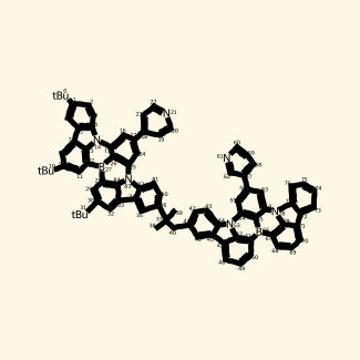 CC(C)(C)c1ccc2c(c1)c1cc(C(C)(C)C)cc3c1n2-c1cc(-c2ccncc2)cc2c1B3c1cc(C(C)(C)C)cc3c4cc(C(C)(C)Cc5ccc6c(c5)c5cccc7c5n6-c5cc(-c6cccnc6)cc6c5B7c5cccc7c8ccccc8n-6c57)ccc4n-2c13